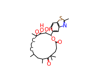 Cc1nc2cc(C3OC(=O)CCC(C)(C)C(=O)C(C)CC(C)CCCC4(C)OC4(O)C3O)ccc2s1